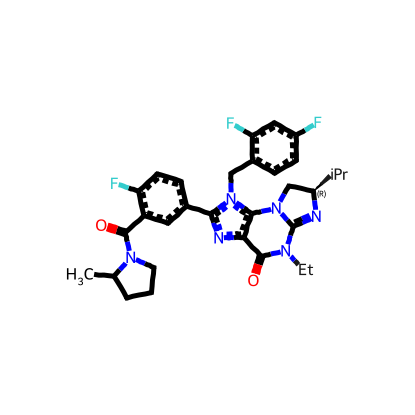 CCN1C(=O)c2nc(-c3ccc(F)c(C(=O)N4CCCC4C)c3)n(Cc3ccc(F)cc3F)c2N2C[C@@H](C(C)C)N=C12